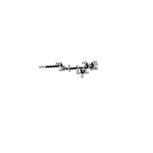 CCCCCCCC/C=C/CCCCCCCC(=O)OC(COC(C)=O)COP(=O)(O)OCCNC(=O)CCCCC(=O)NCCCO[C@@H]1OC(CO)[C@H](O)[C@H](O[C@H]2OC(CO)[C@H](O)[C@H](O)C2NC(C)=O)C1O[C@@H]1OC(C)[C@@H](O)[C@H](O)C1O